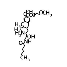 CCCCCC(=O)NC[C@H](O)[C@@H](N)C[C@H](Cc1ccc(OC)c(OCCCOC)c1)C(C)C